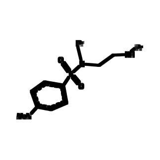 CNc1ccc(S(=O)(=O)N(CCNC(C)C)C(C)C)cc1